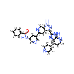 O=C(Nc1cncc(-c2cc3c(-c4nc5c(-c6ccncc6)ccnc5[nH]4)n[nH]c3cn2)c1)c1ccccc1